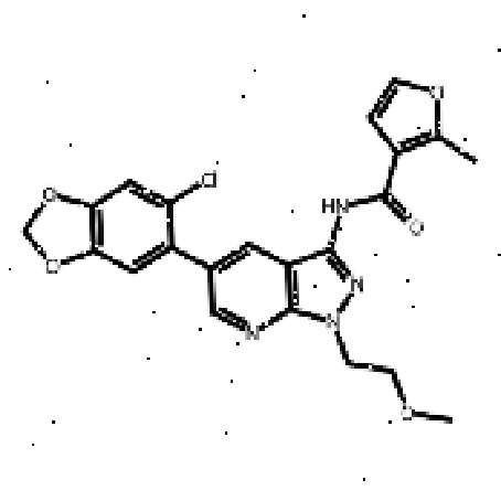 COCCn1nc(NC(=O)c2ccoc2C)c2cc(-c3cc4c(cc3Cl)OCO4)cnc21